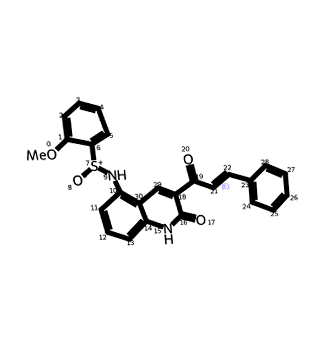 COc1ccccc1[S+]([O-])Nc1cccc2[nH]c(=O)c(C(=O)/C=C/c3ccccc3)cc12